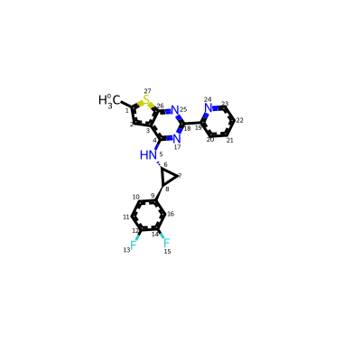 Cc1cc2c(N[C@@H]3C[C@H]3c3ccc(F)c(F)c3)nc(-c3ccccn3)nc2s1